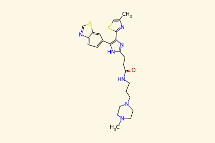 Cc1csc(-c2nc(CCC(=O)NCCCN3CCN(C)CC3)[nH]c2-c2ccc3ncsc3c2)n1